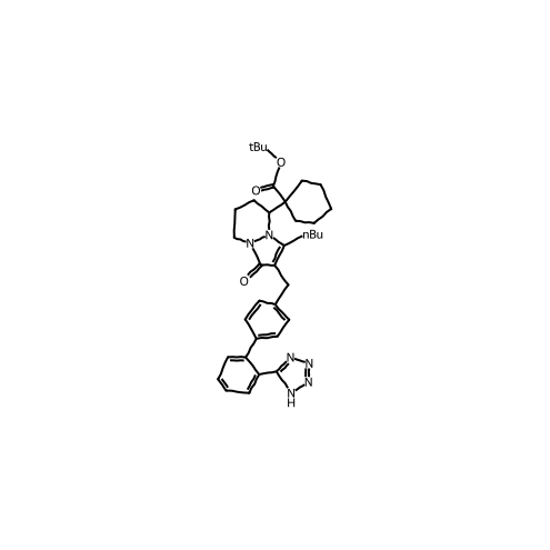 CCCCc1c(Cc2ccc(-c3ccccc3-c3nnn[nH]3)cc2)c(=O)n2n1C(C1(C(=O)OC(C)(C)C)CCCCC1)CCC2